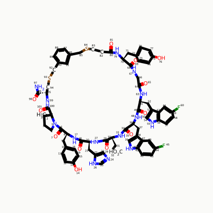 C[C@@]12CCCN1C(=O)[C@H](Cc1ccc(O)cc1)NC(=O)[C@H](Cc1cnc[nH]1)NC(=O)[C@H](CC(=O)O)NC(=O)[C@H](Cc1c[nH]c3ccc(F)cc13)NC(=O)[C@H](Cc1c[nH]c3ccc(F)cc13)NC(=O)CNC(=O)[C@H](Cc1ccc(O)cc1)NC(=O)CCSCc1cccc(c1)CSC[C@@H](C(N)=O)NC2=O